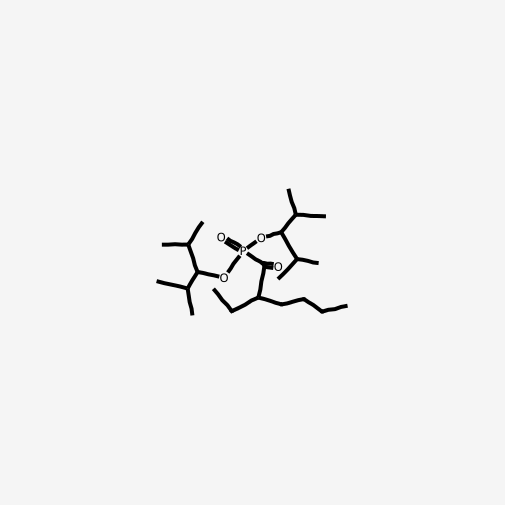 CCCCC(CC)C(=O)P(=O)(OC(C(C)C)C(C)C)OC(C(C)C)C(C)C